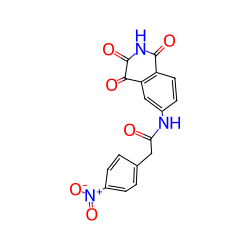 O=C(Cc1ccc([N+](=O)[O-])cc1)Nc1ccc2c(c1)C(=O)C(=O)NC2=O